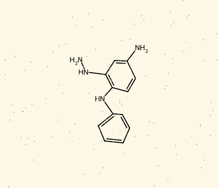 NNc1cc(N)ccc1Nc1ccccc1